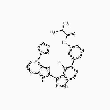 CC(C)C(=O)Nc1cncc(-c2ncc3[nH]nc(-c4nc5c(-c6cccs6)cncc5[nH]4)c3c2F)c1